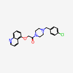 O=C(COc1cccc2ncccc12)N1CCN(Cc2ccc(Cl)cc2)CC1